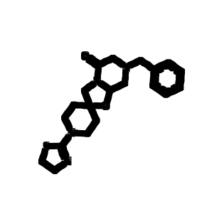 O=C1CN(Cc2ccccc2)CC2OC3(CCN(C4=NCCS4)CC3)CN12